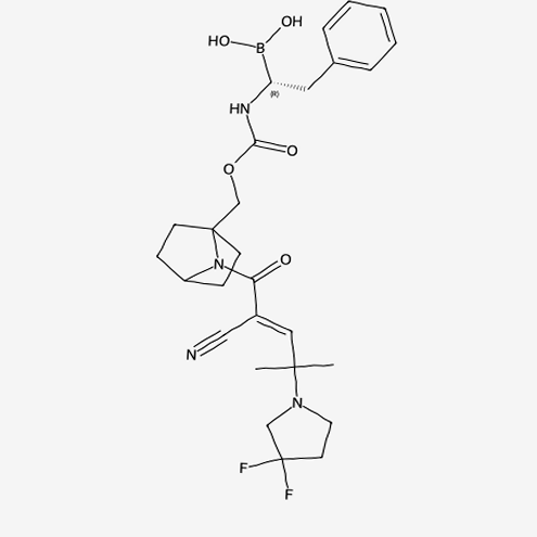 CC(C)(C=C(C#N)C(=O)N1C2CCC1(COC(=O)N[C@@H](Cc1ccccc1)B(O)O)CC2)N1CCC(F)(F)C1